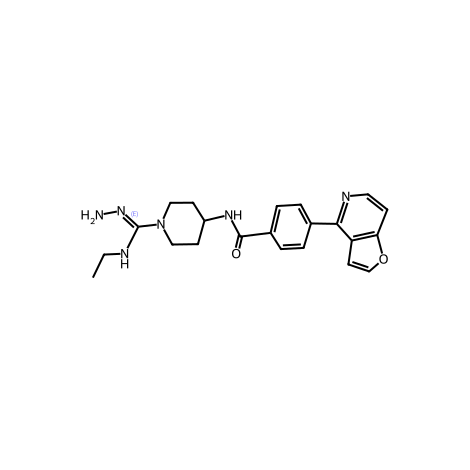 CCN/C(=N\N)N1CCC(NC(=O)c2ccc(-c3nccc4occc34)cc2)CC1